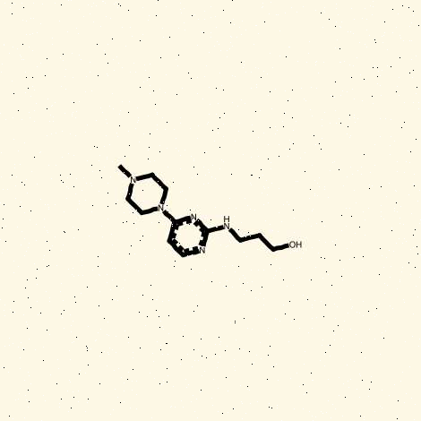 CN1CCN(c2ccnc(NCCCO)n2)CC1